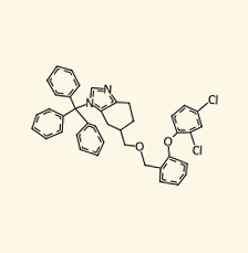 Clc1ccc(Oc2ccccc2COCC2CCc3ncn(C(c4ccccc4)(c4ccccc4)c4ccccc4)c3C2)c(Cl)c1